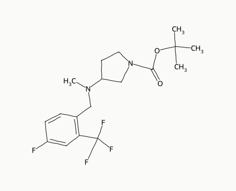 CN(Cc1ccc(F)cc1C(F)(F)F)C1CCN(C(=O)OC(C)(C)C)C1